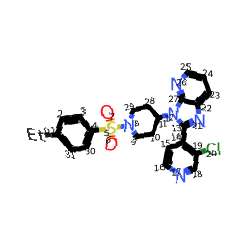 CCc1ccc(S(=O)(=O)N2CCC(n3c(-c4ccncc4Cl)nc4cccnc43)CC2)cc1